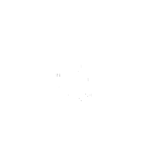 N=C1C[C@@H]2CC3C4=NNC4C(C1C3F)C2F